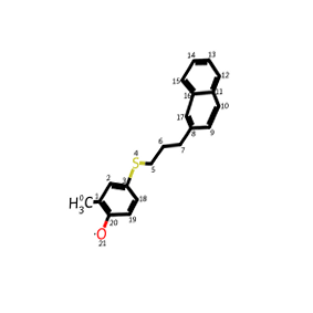 Cc1cc(SCCCc2ccc3ccccc3c2)ccc1[O]